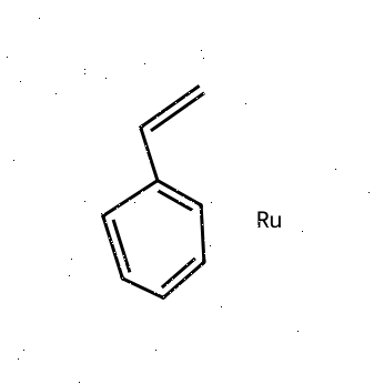 C=Cc1ccccc1.[Ru]